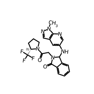 Cn1ncc2cc(NC3c4ccccc4C(=O)N3CC(=O)N3CCC[C@H]3C(F)(F)F)cnc21